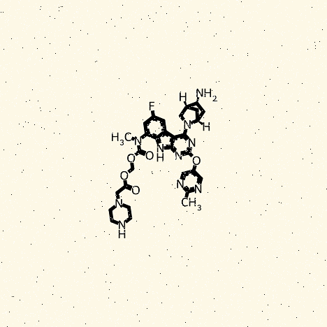 Cc1ncc(Oc2nc(N3C[C@H]4C[C@@H]3C[C@@H]4N)c3c(n2)[nH]c2c(N(C)C(=O)OCOC(=O)CN4CCNCC4)cc(F)cc23)cn1